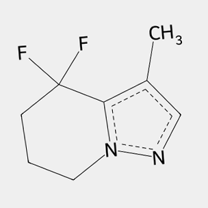 Cc1cnn2c1C(F)(F)CCC2